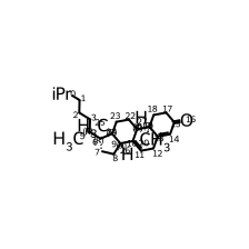 CC(C)CCC[C@@H](C)[C@H]1CC[C@H]2C3=CCC4=CC(=O)CC[C@]4(C)[C@H]3CC[C@]12C